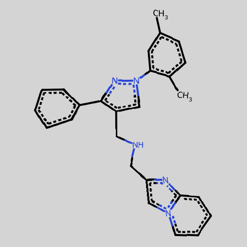 Cc1ccc(C)c(-n2cc(CNCc3cn4ccccc4n3)c(-c3ccccc3)n2)c1